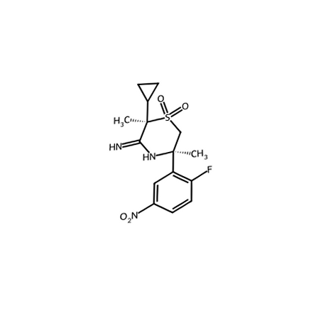 C[C@@]1(C2CC2)C(=N)N[C@](C)(c2cc([N+](=O)[O-])ccc2F)CS1(=O)=O